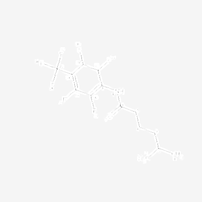 CC(C)CCCC(=O)NC1=C(F)C(F)=C(C(F)(F)F)C(F)C1F